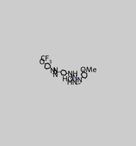 COc1cccc(N2CCN/C2=N\C(O)Nc2ccc(-c3ncn(-c4ccc(OC(F)(F)F)cc4)n3)cc2)c1